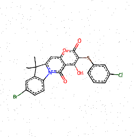 CC1(C)c2cc(Br)ccc2-n2c1cc1oc(=O)c(Sc3cccc(Cl)c3)c(O)c1c2=O